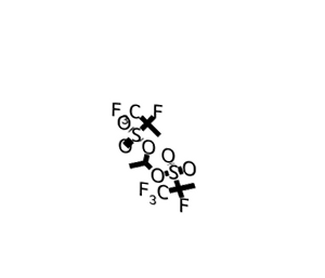 CC(OS(=O)(=O)C(C)(F)C(F)(F)F)OS(=O)(=O)C(C)(F)C(F)(F)F